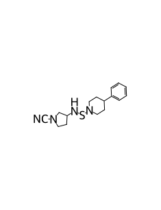 N#CN1CCC(NSN2CCC(c3ccccc3)CC2)C1